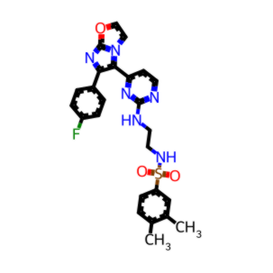 Cc1ccc(S(=O)(=O)NCCNc2nccc(-c3c(-c4ccc(F)cc4)nc4occn34)n2)cc1C